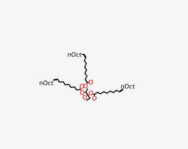 CCCCCCCC/C=C\CCCCCCCC(=O)OCC(OC(=O)CCCCCCC/C=C\CCCCCCCC)C1(OC(=O)CCCCCCC/C=C\CCCCCCCC)CCO1